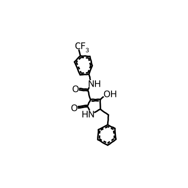 O=C(Nc1ccc(C(F)(F)F)cc1)C1=C(O)C(Cc2ccccc2)NC1=O